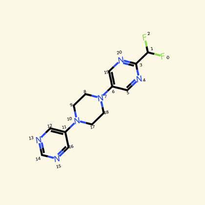 FC(F)c1ncc(N2CCN(c3cncnc3)CC2)cn1